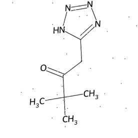 CC(C)(C)C(=O)Cc1nnn[nH]1